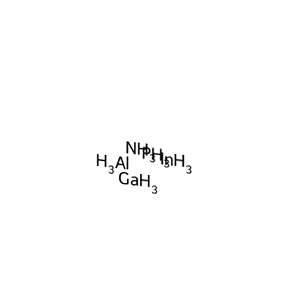 N.P.[AlH3].[GaH3].[InH3]